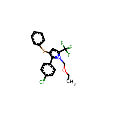 CCOCn1c(C(F)(F)F)cc(Sc2ccccc2)c1-c1ccc(Cl)cc1